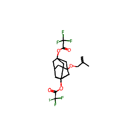 C=C(C)COC12CC3CC(OC(=O)C(F)(F)F)(C1)CC(OC(=O)C(F)(F)F)(C3)C2